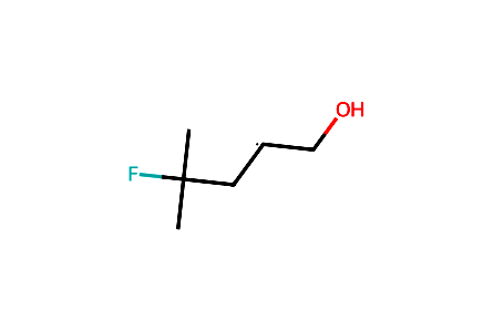 CC(C)(F)C[CH]CO